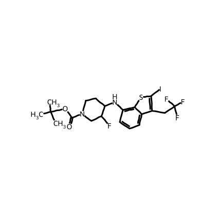 CC(C)(C)OC(=O)N1CCC(Nc2cccc3c(CC(F)(F)F)c(I)sc23)C(F)C1